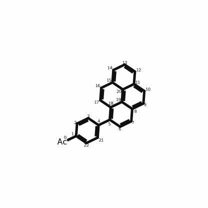 CC(=O)c1ccc(-c2ccc3ccc4cccc5ccc2c3c45)cc1